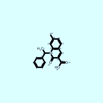 CC(c1ccccc1)n1c(=O)c(C(=O)O)cc2ccc(I)cc21